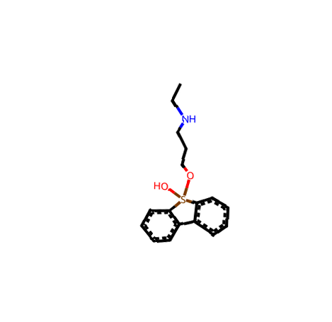 CCNCCCOS1(O)c2ccccc2-c2ccccc21